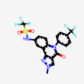 Cn1cc2c(=O)n(-c3ccc(C(F)(F)F)cc3)c3ccc(NS(=O)(=O)C(F)(F)F)cc3c2n1